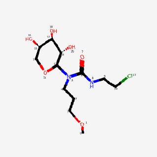 COCCCN(C(=O)NCCCl)C1OC[C@@H](O)[C@@H](O)[C@@H]1O